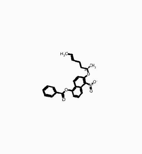 CC=CCC[C@@H](C)Oc1ccc2c(OC(=O)c3ccccc3)cccc2c1[N+](=O)[O-]